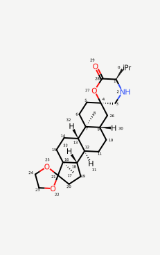 CC(C)[C@H]1NC[C@]2(CC[C@@]3(C)[C@@H](CC[C@@H]4[C@@H]3CC[C@@]3(C)[C@H]4CCC34OCCO4)C2)OC1=O